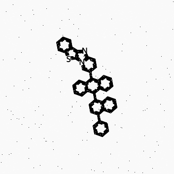 c1ccc(-c2ccc(-c3c4ccccc4c(-c4ccc5nc6c7ccccc7sc6n5c4)c4ccccc34)c3ccccc23)cc1